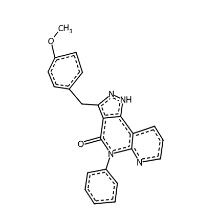 COc1ccc(Cc2n[nH]c3c2c(=O)n(-c2ccccc2)c2ncccc32)cc1